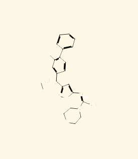 CS(=O)(=O)O.C[C@H](c1ccc(-c2ccccc2)c(F)c1)c1cc(/N=C(/N)N2CCOCC2)on1